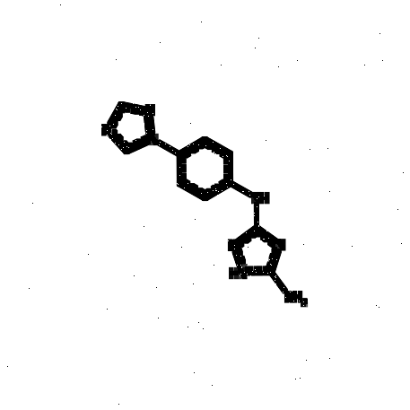 Nc1nc(Nc2ccc(-n3cncn3)cc2)n[nH]1